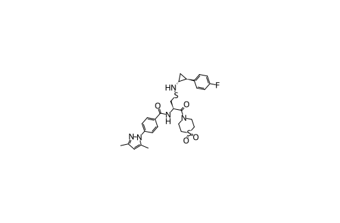 Cc1cc(C)n(-c2ccc(C(=O)N[C@@H](CSN[C@@H]3C[C@H]3c3ccc(F)cc3)C(=O)N3CCS(=O)(=O)CC3)cc2)n1